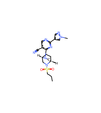 CCCS(=O)(=O)N1C[C@@H]2CC[C@H]1CN2c1nc(-c2cnn(C)c2)ncc1C#N